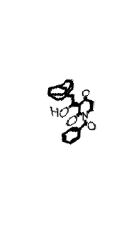 O=C1CCN(C(=O)c2ccccc2)C(=O)/C1=C(\O)CC12CC3CC(CC(C3)C1)C2